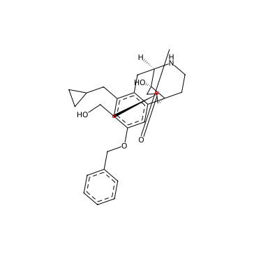 O=C1C[C@]23CCN[C@H](Cc4c(CC5CC5)cc(OCc5ccccc5)cc42)[C@]3(O)C[C@@H]1CCO